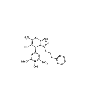 COc1cc(C2C(C#N)=C(N)Oc3[nH]nc(CCCc4ccccc4)c32)cc([N+](=O)[O-])c1O